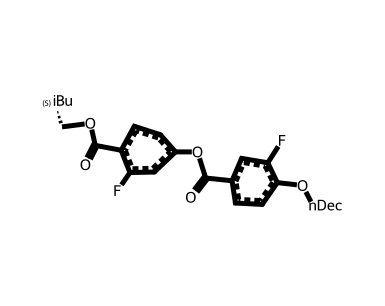 CCCCCCCCCCOc1ccc(C(=O)Oc2ccc(C(=O)OC[C@@H](C)CC)c(F)c2)cc1F